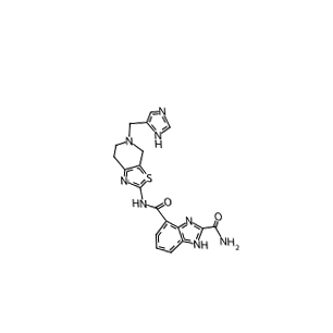 NC(=O)c1nc2c(C(=O)Nc3nc4c(s3)CN(Cc3cnc[nH]3)CC4)cccc2[nH]1